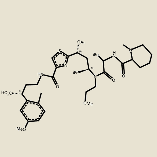 CCC(C)C(NC(=O)C1CCCCN1C)C(=O)N(CCOC)[C@H](C[C@@H](OC(C)=O)c1nc(C(=O)NCC[C@@H](C(=O)O)c2cc(OC)ccc2C)cs1)C(C)C